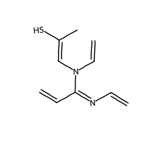 C=C/N=C(/C=C)N(C=C)/C=C(\C)S